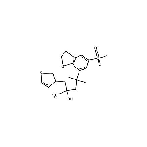 CC(C)(CC(O)(CC1C=CSC1)C(F)(F)F)c1cc(S(C)(=O)=O)cc2c1OCC2